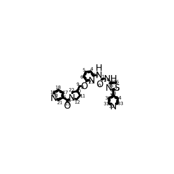 O=C(Nc1cccc(OCC2CCN(C(=O)c3cccnc3)C2)n1)Nc1csc(-c2ccncc2)n1